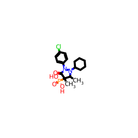 CC1N(C2CCCCC2)N(c2ccc(Cl)cc2)C(=O)C1(C)P(=O)(O)O